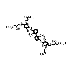 Cc1c(COc2nc(OCC(N)=O)c(CNC[C@@H](O)CC(=O)O)cc2Br)cccc1-c1cccc(COc2nc(OCC(N)=O)c(CNC[C@@H](O)CC(=O)O)cc2Br)c1C